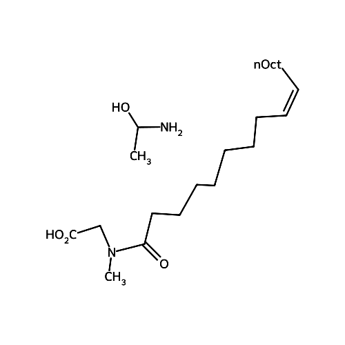 CC(N)O.CCCCCCCC/C=C\CCCCCCCC(=O)N(C)CC(=O)O